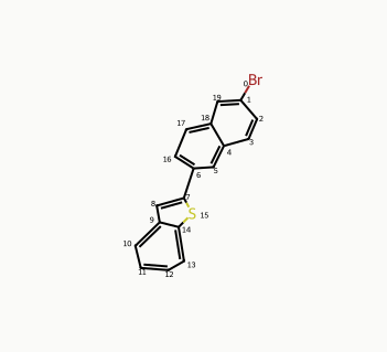 Brc1ccc2cc(-c3cc4ccccc4s3)ccc2c1